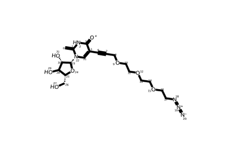 C=C1NC(=O)C(C#CCOCCOCCOCCN=[N+]=[N-])=CN1[C@@H]1O[C@H](CO)C(O)[C@@H]1O